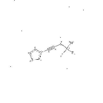 [2H]C(F)(F)SC#Cc1ccsc1